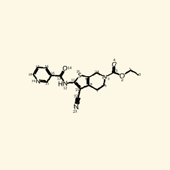 CCOC(=O)N1CCc2c(sc(NC(=O)c3cccnc3)c2C#N)C1